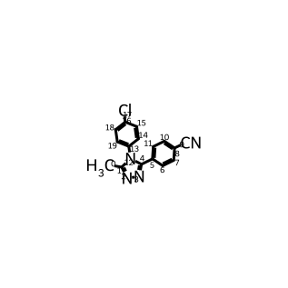 Cc1nnc(-c2ccc(C#N)cc2)n1-c1ccc(Cl)cc1